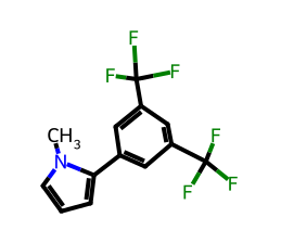 Cn1cccc1-c1cc(C(F)(F)F)cc(C(F)(F)F)c1